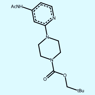 CC(=O)Nc1ccnc(N2CCN(C(=O)OCC(C)(C)C)CC2)c1